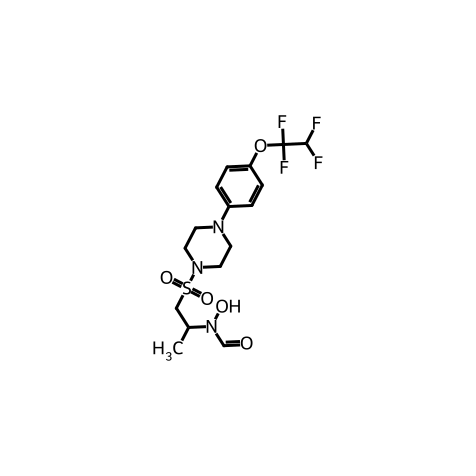 CC(CS(=O)(=O)N1CCN(c2ccc(OC(F)(F)C(F)F)cc2)CC1)N(O)C=O